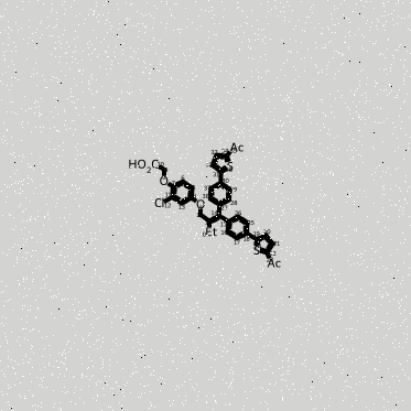 CCC(COc1ccc(OCC(=O)O)c(Cl)c1)=C(c1ccc(-c2ccc(C(C)=O)s2)cc1)c1ccc(-c2ccc(C(C)=O)s2)cc1